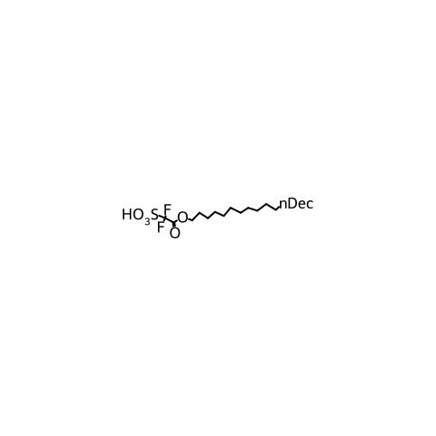 CCCCCCCCCCCCCCCCCCCCCOC(=O)C(F)(F)S(=O)(=O)O